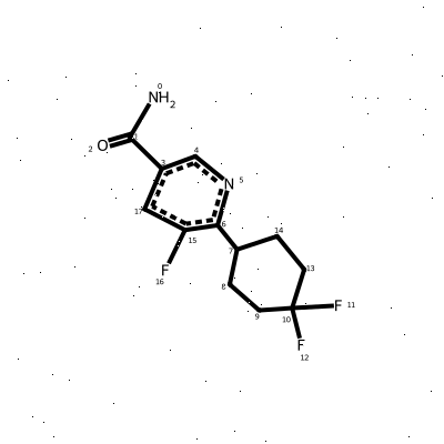 NC(=O)c1cnc(C2CCC(F)(F)CC2)c(F)c1